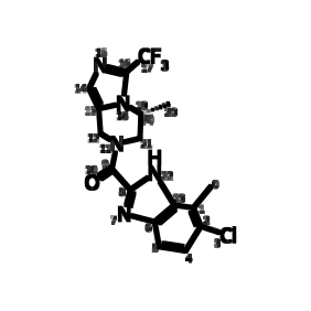 Cc1c(Cl)ccc2nc(C(=O)N3Cc4cnc(C(F)(F)F)n4[C@H](C)C3)[nH]c12